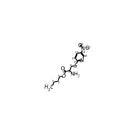 CCCCOC(=O)C(N)CSc1ccc([N+](=O)[O-])cn1